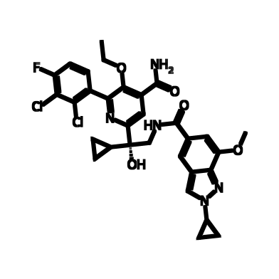 CCOc1c(C(N)=O)cc([C@@](O)(CNC(=O)c2cc(OC)c3nn(C4CC4)cc3c2)C2CC2)nc1-c1ccc(F)c(Cl)c1Cl